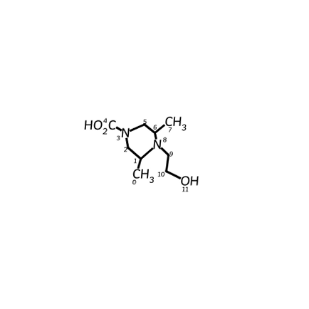 CC1CN(C(=O)O)CC(C)N1CCO